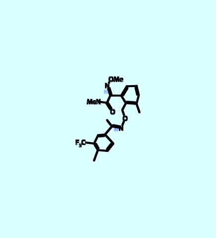 CNC(=O)/C(=N/OC)c1cccc(C)c1CO/N=C(\C)c1ccc(C)c(C(F)(F)F)c1